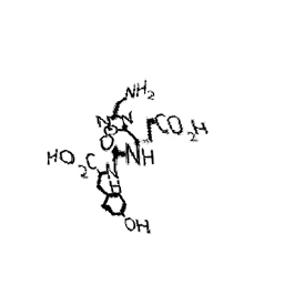 NCc1noc([C@H](CCC(=O)O)NC(=O)N[C@@H](Cc2ccc(O)cc2)C(=O)O)n1